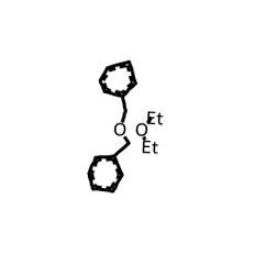 CCOCC.c1ccc(COCc2ccccc2)cc1